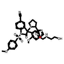 COc1ccc(S(=O)(=O)N2C(=O)C(c3ccc(CNCCO)cc3OC)(N3CCCC3c3ncco3)c3cc(C#N)ccc32)cc1